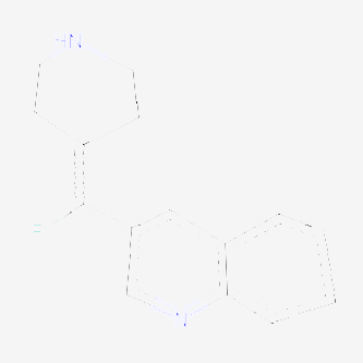 FC(=C1CCNCC1)c1cnc2ccccc2c1